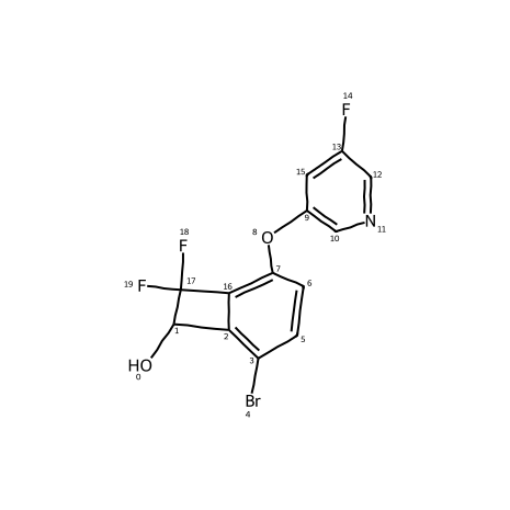 OC1c2c(Br)ccc(Oc3cncc(F)c3)c2C1(F)F